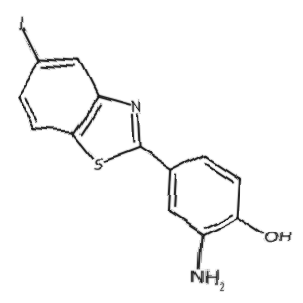 Nc1cc(-c2nc3cc(I)ccc3s2)ccc1O